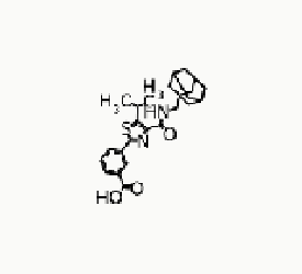 CC(C)c1sc(-c2cccc(C(=O)O)c2)nc1C(=O)NCC12CC3CC(CC(C3)C1)C2